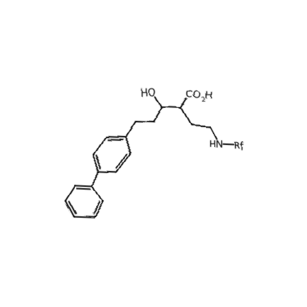 O=C(O)C(CC[NH][Rf])C(O)CCc1ccc(-c2ccccc2)cc1